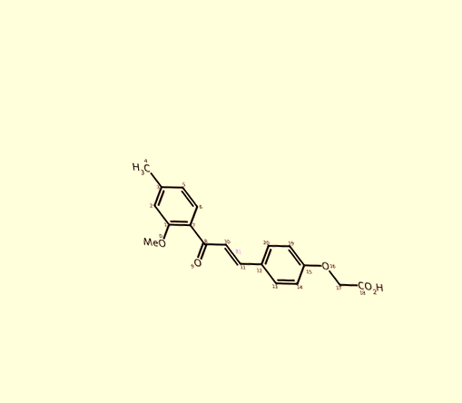 COc1cc(C)ccc1C(=O)/C=C/c1ccc(OCC(=O)O)cc1